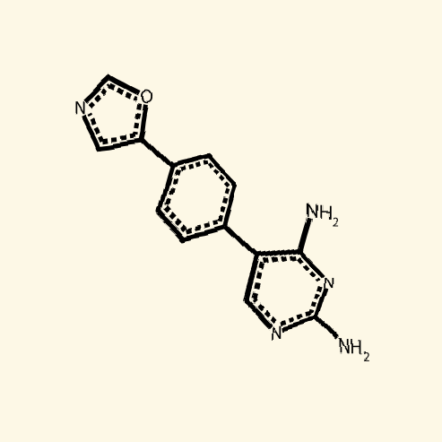 Nc1ncc(-c2ccc(-c3cnco3)cc2)c(N)n1